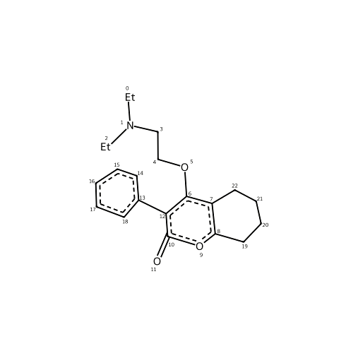 CCN(CC)CCOc1c2c(oc(=O)c1-c1ccccc1)CCCC2